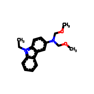 CCn1c2ccccc2c2cc(N(COC)COC)ccc21